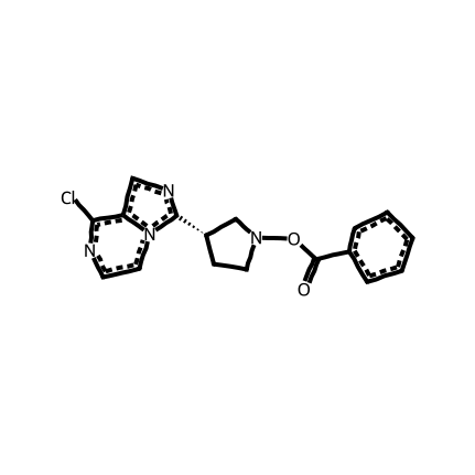 O=C(ON1CC[C@H](c2ncc3c(Cl)nccn23)C1)c1ccccc1